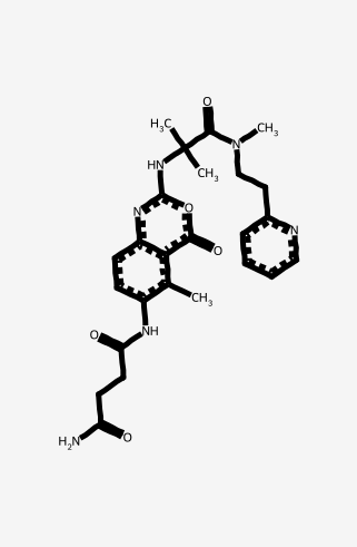 Cc1c(NC(=O)CCC(N)=O)ccc2nc(NC(C)(C)C(=O)N(C)CCc3ccccn3)oc(=O)c12